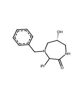 CC(C)C1C(=O)NC[C@@H](O)CN1Cc1ccccc1